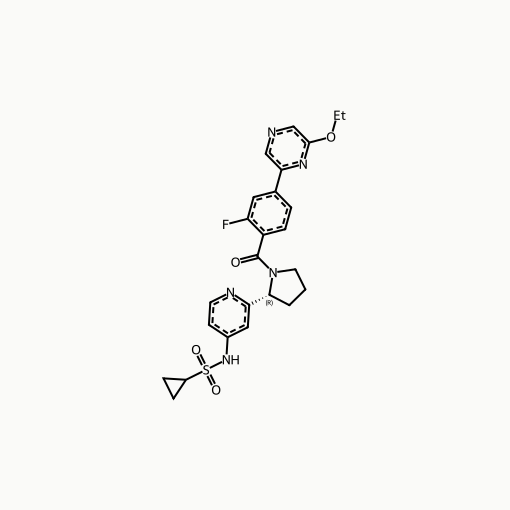 CCOc1cncc(-c2ccc(C(=O)N3CCC[C@@H]3c3cc(NS(=O)(=O)C4CC4)ccn3)c(F)c2)n1